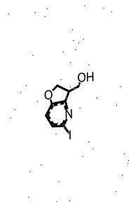 OCC1COc2ccc(I)nc21